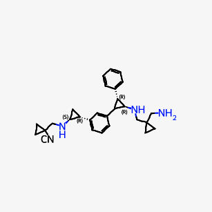 N#CC1(CN[C@H]2C[C@@H]2c2cccc(C3[C@H](NCC4(CN)CC4)[C@H]3c3ccccc3)c2)CC1